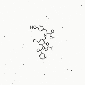 COC(=O)C(Cc1ccc(O)cc1)N=Cc1cc(Cl)cc(OC(=O)c2cccnc2)c1OC(=O)C(C)C